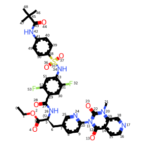 CCOC(=O)[C@H](Cc1ccc(-n2c(=O)c3ccncc3n(C)c2=O)nc1)NC(=O)c1cc(F)c(NS(=O)(=O)c2ccc(NC(=O)C(C)(C)C)cc2)cc1F